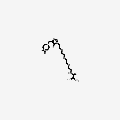 C=C(C)C(=O)NCCOCCOCCOCCn1nnc(CN2CCS(=O)(=O)CC2)c1Br